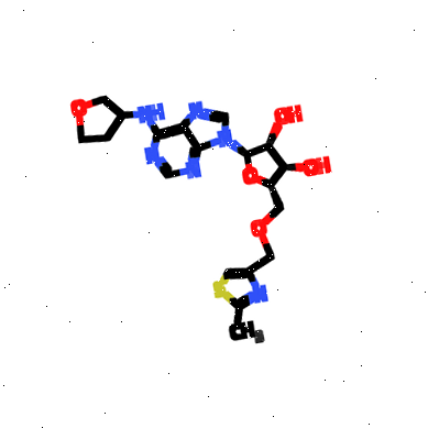 Cc1nc(COC[C@H]2O[C@@H](n3cnc4c(NC5CCOC5)ncnc43)[C@@H](O)[C@H]2O)cs1